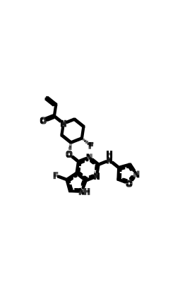 C=CC(=O)N1CC[C@H](F)[C@H](Oc2nc(Nc3cnoc3)nc3[nH]cc(F)c23)C1